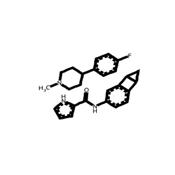 CN1CCC(c2ccc(F)cc2)CC1.O=C(Nc1ccc2c(c1)C1CC21)c1ccc[nH]1